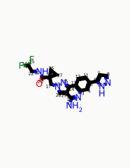 Nc1nc2cc(-c3ccn[nH]3)ccc2c2nn(CC3(C(=O)NCC(F)F)CC3)cc12